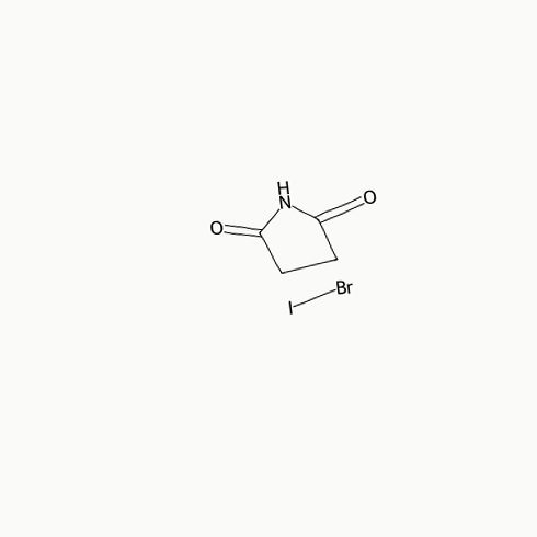 BrI.O=C1CCC(=O)N1